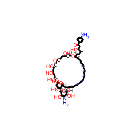 C[C@@H](C[C@H](C)[C@H]1OC(=O)CC(O)CCCC(=O)CC(O)CC(O)CC(O)C[C@]2(O)C[C@H](O)[C@@H](C(=O)O)[C@H](CC(O[C@@H]3O[C@H](C)[C@@H](O)[C@H](N)[C@H]3O)/C=C/C=C/C=C\C=C/C=C/C=C/C=C/[C@@H]1C)O2)C(O)CC(=O)c1ccc(N)cc1